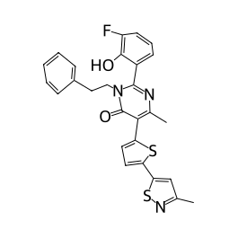 Cc1cc(-c2ccc(-c3c(C)nc(-c4cccc(F)c4O)n(CCc4ccccc4)c3=O)s2)sn1